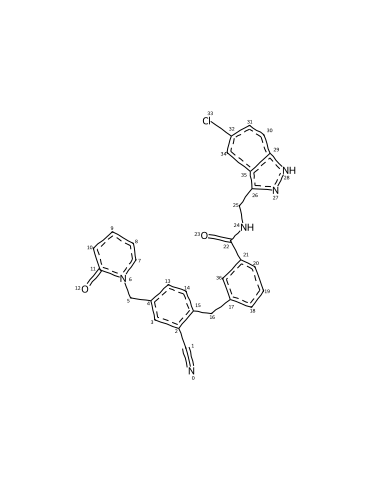 N#Cc1cc(Cn2ccccc2=O)ccc1Cc1cccc(C(=O)NCc2n[nH]c3ccc(Cl)cc23)c1